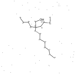 CCCCCCCCC(CO)(CCCC)CCCC